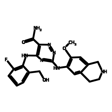 COc1cc2c(cc1Nc1nnc(C(N)=O)c(Nc3c(F)cccc3CO)n1)CCNC2